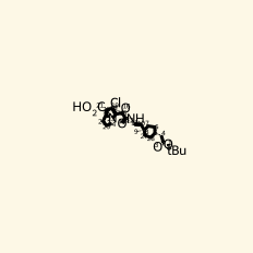 CC(C)(C)OC(=O)C[C@H]1CC[C@](C)(/C=C/NC(=O)C(=O)c2c(Cl)c(C(=O)O)c3n2CCC3)CC1